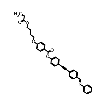 C=CC(=O)OCCCCOc1ccc(C(=O)Oc2ccc(C#Cc3ccc(/C=N/c4ccccc4)cc3)cc2)cc1